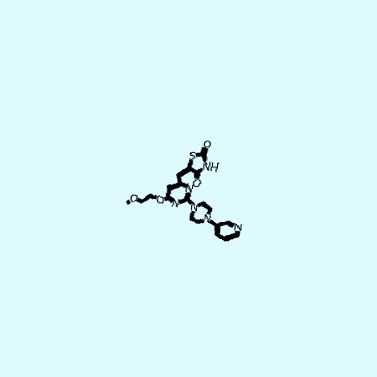 COCCOc1cc(C=C2SC(=O)NC2=O)nc(N2CCN(c3cccnc3)CC2)n1